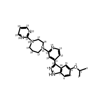 CC(C)Oc1ccc2[nH]nc(-c3ccnc(N4CCCN(c5ncccn5)CC4)c3)c2c1